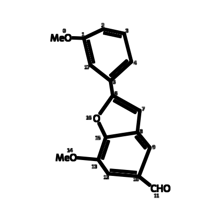 COc1cccc(-c2cc3cc(C=O)cc(OC)c3o2)c1